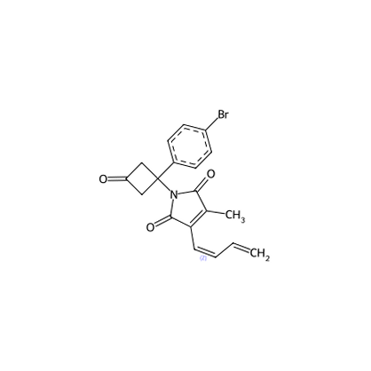 C=C/C=C\C1=C(C)C(=O)N(C2(c3ccc(Br)cc3)CC(=O)C2)C1=O